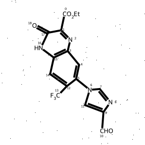 CCOC(=O)c1nc2cc(-n3cnc(C=O)c3)c(C(F)(F)F)cc2[nH]c1=O